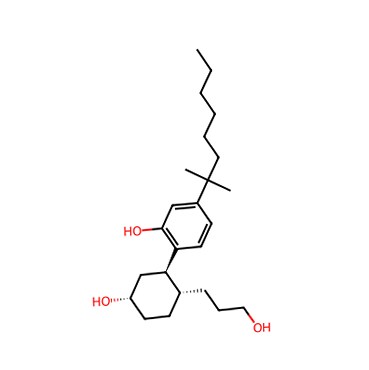 CCCCCCC(C)(C)c1ccc([C@@H]2C[C@@H](O)CC[C@H]2CCCO)c(O)c1